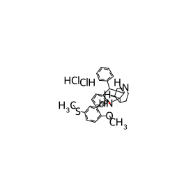 COc1ccc(SC)cc1CN[C@H]1C2CCN(CC2)[C@H]1C(c1ccccc1)c1ccccc1.Cl.Cl